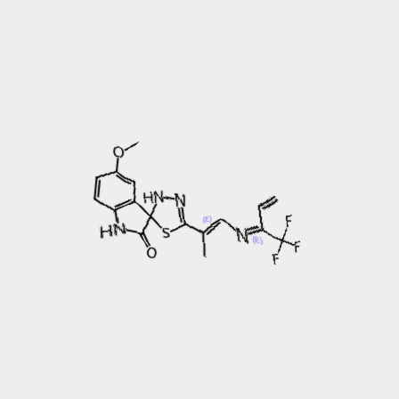 C=C/C(=N\C=C(/C)C1=NNC2(S1)C(=O)Nc1ccc(OC)cc12)C(F)(F)F